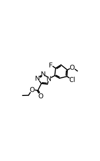 CCOC(=O)c1cn(-c2cc(Cl)c(OC)cc2F)nn1